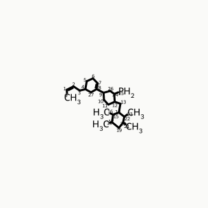 C/C=C\CC1CCC=C(C2CCC(CC3C(C)C(C)CC(C)C3C)C(P)C2)C1